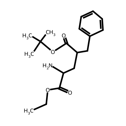 CCOC(=O)C(N)CC(Cc1ccccc1)C(=O)OC(C)(C)C